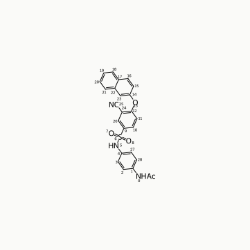 CC(=O)Nc1ccc(NS(=O)(=O)c2ccc(Oc3ccc4ccccc4c3)c(C#N)c2)cc1